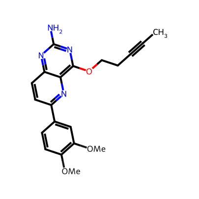 CC#CCCOc1nc(N)nc2ccc(-c3ccc(OC)c(OC)c3)nc12